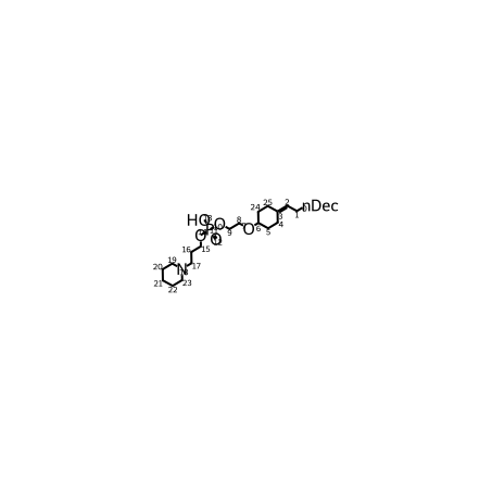 CCCCCCCCCCCC=C1CCC(OCCOP(=O)(O)OCCCN2CCCCC2)CC1